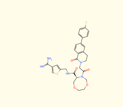 N=C(N)c1csc(CNC(=O)[C@@H]2COCCOCN2C(=O)CN2CCc3cc(-c4ccc(F)cc4)ccc3C2=O)c1